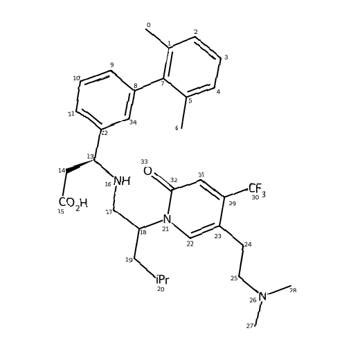 Cc1cccc(C)c1-c1cccc([C@H](CC(=O)O)NCC(CC(C)C)n2cc(CCN(C)C)c(C(F)(F)F)cc2=O)c1